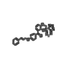 NC1(c2nnn[nH]2)COc2cccc(C(=O)c3ccc(OCC=Cc4ccccc4)cc3)c2O1